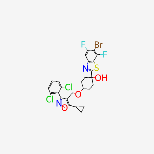 OC1(c2nc3cc(F)c(Br)c(F)c3s2)CCC(OCc2c(-c3c(Cl)cccc3Cl)noc2C2CC2)CC1